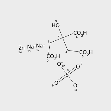 O=C(O)CC(O)(CC(=O)O)C(=O)O.O=S(=O)([O-])[O-].[Na+].[Na+].[Zn]